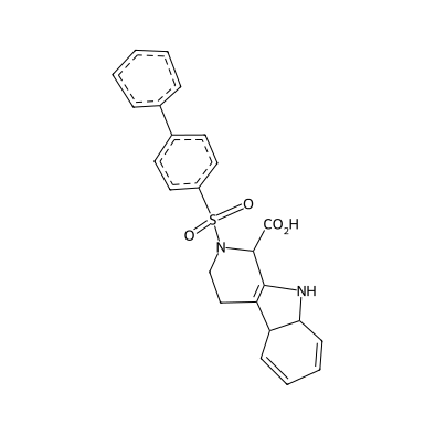 O=C(O)C1C2=C(CCN1S(=O)(=O)c1ccc(-c3ccccc3)cc1)C1C=CC=CC1N2